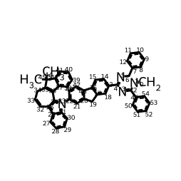 C=N/C(=N\C(=N/Cc1ccccc1)c1ccc2c(c1)Cc1cc(-n3c4c(c5ccccc53)C=CCC3=C4c4ccccc4C3(C)C)ccc1-2)c1ccccc1